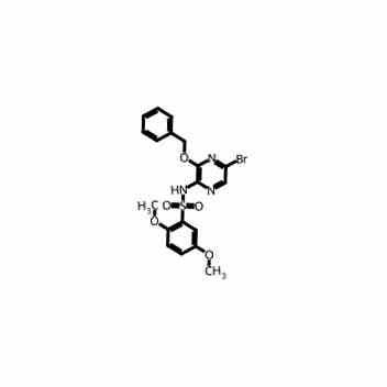 COc1ccc(OC)c(S(=O)(=O)Nc2ncc(Br)nc2OCc2ccccc2)c1